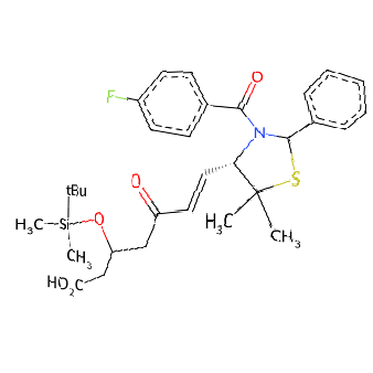 CC1(C)SC(c2ccccc2)N(C(=O)c2ccc(F)cc2)[C@H]1C=CC(=O)CC(CC(=O)O)O[Si](C)(C)C(C)(C)C